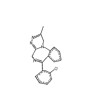 CC1=NN=C2CN=C(c3ccccc3Cl)c3ccccc3N2C1